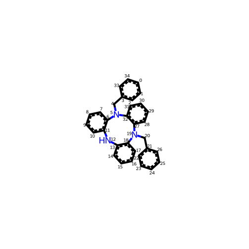 c1ccc(CN2c3ccccc3Nc3ccccc3N(Cc3ccccc3)c3ccccc32)cc1